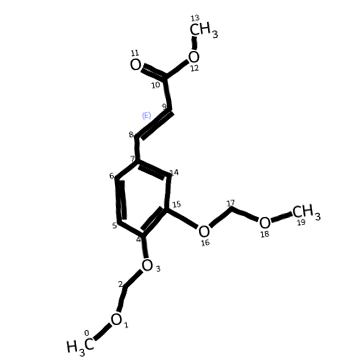 COCOc1ccc(/C=C/C(=O)OC)cc1OCOC